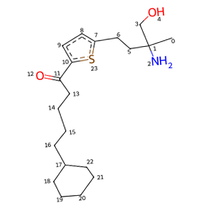 CC(N)(CO)CCc1ccc(C(=O)CCCCC2CCCCC2)s1